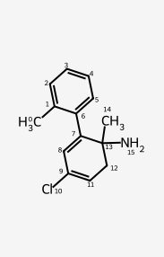 Cc1ccccc1C1=CC(Cl)=CCC1(C)N